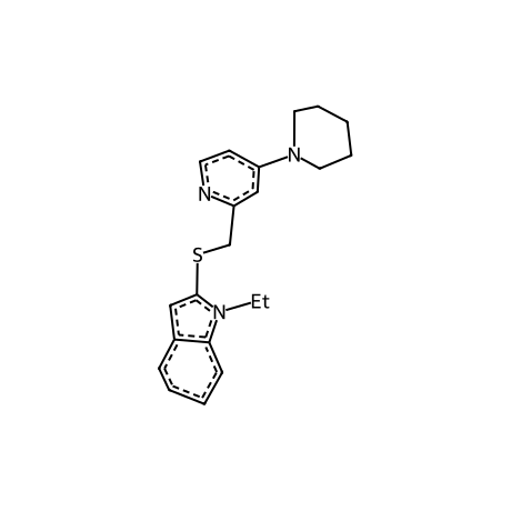 CCn1c(SCc2cc(N3CCCCC3)ccn2)cc2ccccc21